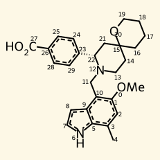 COc1cc(C)c2[nH]ccc2c1CN1CCC2(CCCCO2)C[C@H]1c1ccc(C(=O)O)cc1